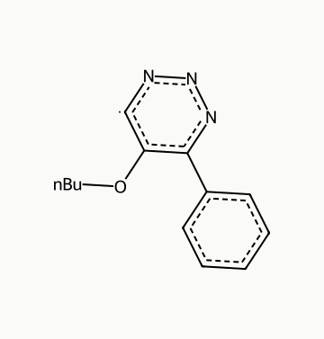 CCCCOc1[c]nnnc1-c1ccccc1